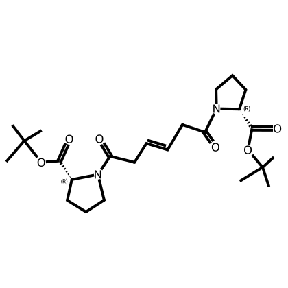 CC(C)(C)OC(=O)[C@H]1CCCN1C(=O)CC=CCC(=O)N1CCC[C@@H]1C(=O)OC(C)(C)C